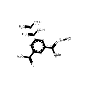 C=CC(=O)O.C=CC(=O)O.COC(=O)c1cccc(C(=O)OC)c1.O=[NH+][O-]